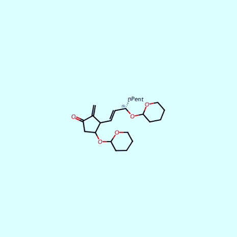 C=C1C(=O)CC(OC2CCCCO2)C1C=C[C@H](CCCCC)OC1CCCCO1